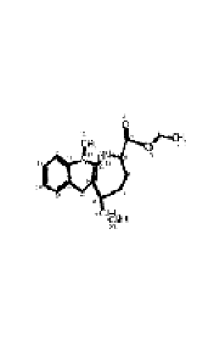 CCOC(=O)C1CCC(C)C2=C(N1)N(C)c1ccccc1C2.Cl